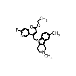 CCOC(=O)/C=C(/Cn1c2c(c3cc(C)ccc31)CN(C)CC2)c1ccc(F)nc1